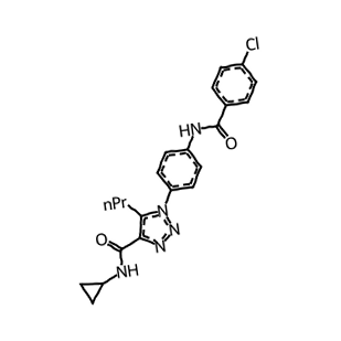 CCCc1c(C(=O)NC2CC2)nnn1-c1ccc(NC(=O)c2ccc(Cl)cc2)cc1